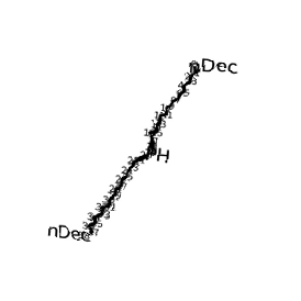 CCCCCCCCCCCCCCCCCCCCCCCCCCC#CPC#CCCCCCCCCCCCCCCCCCCCCCCCCCC